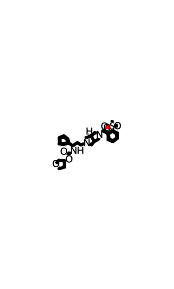 CS(=O)(=O)c1ccccc1C(=O)N1CC2CN(CCC(NC(=O)OC3CCOC3)c3ccccc3)C[C@H]2C1